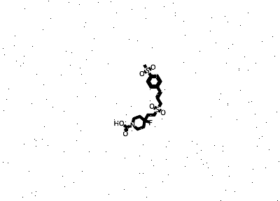 CS(=O)(=O)c1ccc(C=CCS(=O)(=O)CCC2(F)CCN(C(=O)O)CC2)cc1